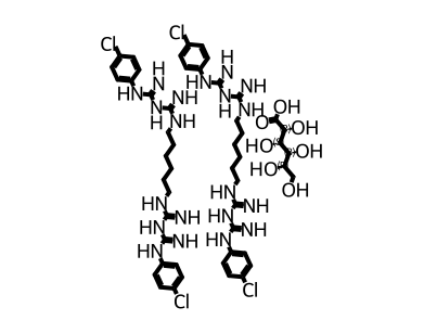 N=C(NCCCCCCNC(=N)NC(=N)Nc1ccc(Cl)cc1)NC(=N)Nc1ccc(Cl)cc1.N=C(NCCCCCCNC(=N)NC(=N)Nc1ccc(Cl)cc1)NC(=N)Nc1ccc(Cl)cc1.O=C(O)[C@H](O)[C@@H](O)[C@H](O)[C@H](O)CO